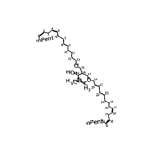 CCCCC/C=C\C/C=C\CCCCCCCCOCC(COCCCCCCCC/C=C\C/C=C\CCCCC)C(O)N(C)C